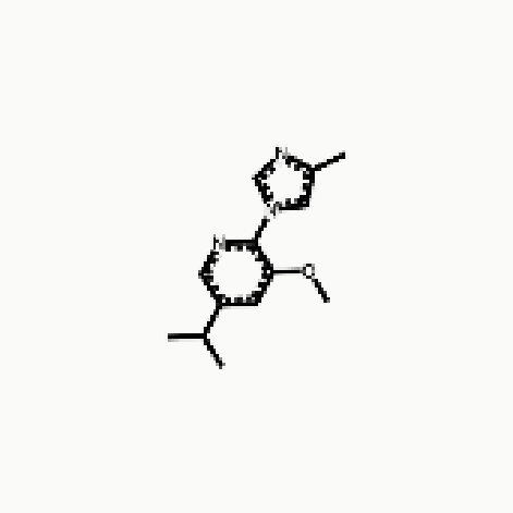 COc1cc(C(C)C)cnc1-n1cnc(C)c1